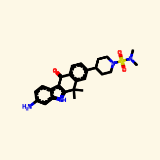 CN(C)S(=O)(=O)N1CCC(c2ccc3c(c2)C(C)(C)c2[nH]c4cc(N)ccc4c2C3=O)CC1